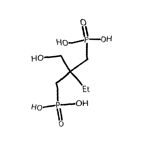 CCC(CO)(CP(=O)(O)O)CP(=O)(O)O